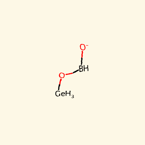 [O-]B[O][GeH3]